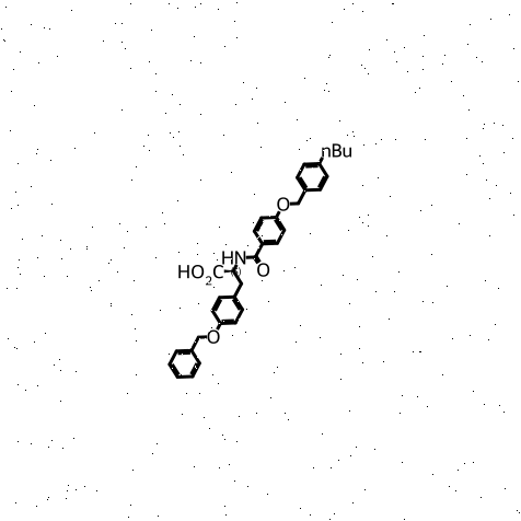 CCCCc1ccc(COc2ccc(C(=O)N[C@@H](Cc3ccc(OCc4ccccc4)cc3)C(=O)O)cc2)cc1